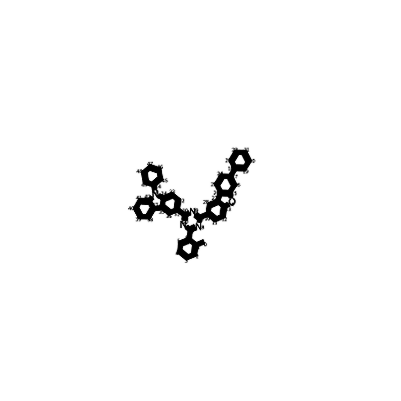 Cc1ccccc1-c1nc(-c2ccc3oc4cc(-c5ccccc5)ccc4c3c2)nc(-c2ccc3c(c2)c2ccccc2n3-c2ccccc2)n1